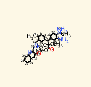 COC(=O)C(C)(C)C(c1ccc(C)c(CN2CCOc3cc4ccccc4nc3C2)c1)c1ccc(N(C)N)c(N)c1C